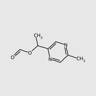 Cc1cnc(C(C)OC=O)cn1